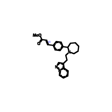 COC(=O)/C=C/c1ccc(C2CCCCCN2CCc2cnn3ccccc23)cc1